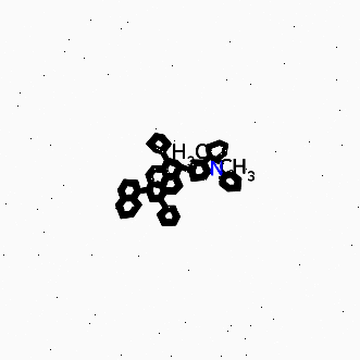 CC12CCCCC1(C)N(c1ccccc1)c1ccc(-c3cc(-c4ccccc4)c4ccc5c(-c6cccc7ccccc67)cc(-c6ccccc6)c6ccc3c4c65)cc12